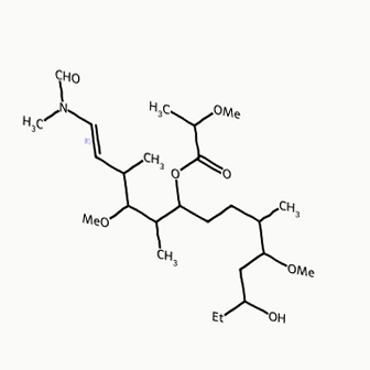 CCC(O)CC(OC)C(C)CCC(OC(=O)C(C)OC)C(C)C(OC)C(C)/C=C/N(C)C=O